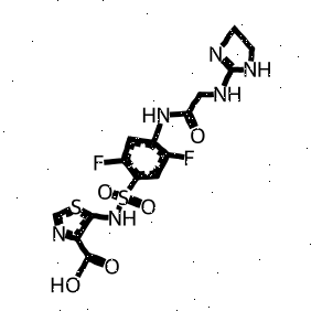 O=C(CNC1=NCCN1)Nc1cc(F)c(S(=O)(=O)Nc2scnc2C(=O)O)cc1F